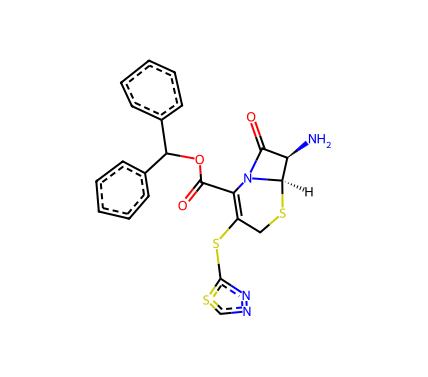 N[C@@H]1C(=O)N2C(C(=O)OC(c3ccccc3)c3ccccc3)=C(Sc3nncs3)CS[C@H]12